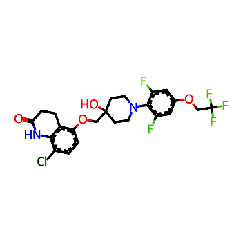 O=C1CCc2c(OCC3(O)CCN(c4c(F)cc(OCC(F)(F)F)cc4F)CC3)ccc(Cl)c2N1